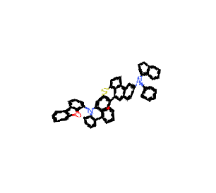 c1ccc(-c2ccccc2N(c2ccc3c(c2)Sc2cccc4c2c-3cc2ccc(N(c3ccccc3)c3cccc5ccccc35)cc24)c2cccc3c2oc2ccccc23)cc1